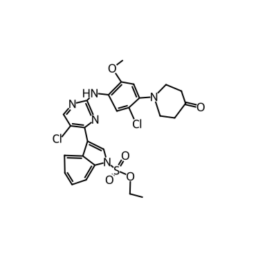 CCOS(=O)(=O)n1cc(-c2nc(Nc3cc(Cl)c(N4CCC(=O)CC4)cc3OC)ncc2Cl)c2ccccc21